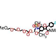 CNC(=O)c1c(-c2ccc(F)cc2)oc2cc3c(cc12)[C@H](C)O[C@H](COC(=O)COCCOCCOCCOC)CN3S(C)(=O)=O